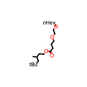 CCCCCCOCCOCCCC(=O)OCCC(C)CC(C)(C)C